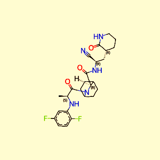 C[C@H](Nc1cc(F)ccc1F)C(=O)N1C2CCC(CC2)[C@@H]1C(=O)N[C@@H](C#N)C[C@H]1CCCNC1=O